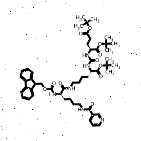 CC(C)(C)OC(=O)CC[C@H](NC(=O)N[C@@H](CCCCNC(=O)[C@H](CCCCNC(=O)c1cccnc1)NC(=O)OCC1c2ccccc2-c2ccccc21)C(=O)OC(C)(C)C)C(=O)OC(C)(C)C